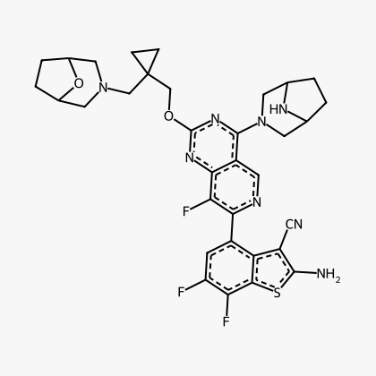 N#Cc1c(N)sc2c(F)c(F)cc(-c3ncc4c(N5CC6CCC(C5)N6)nc(OCC5(CN6CC7CCC(C6)O7)CC5)nc4c3F)c12